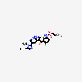 CCCS(=O)(=O)Nc1ccc(F)c(C(=O)c2c[nH]c3ncc(-c4ncc(C)n4C)cc23)c1F